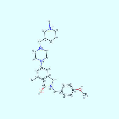 Cc1cc(N2CCN(CC3CCCN(C)C3)CC2)cc2c1C(=O)N(Cc1ccc(OC(F)(F)F)cc1)C2